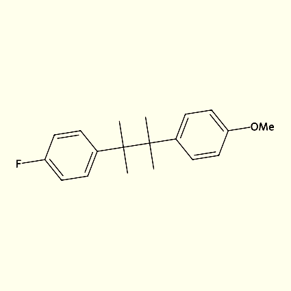 COc1ccc(C(C)(C)C(C)(C)c2ccc(F)cc2)cc1